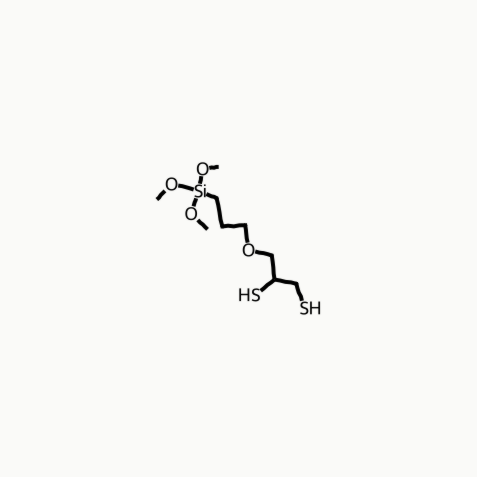 CO[Si](CCCOCC(S)CS)(OC)OC